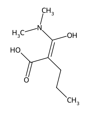 CCCC(C(=O)O)=C(O)N(C)C